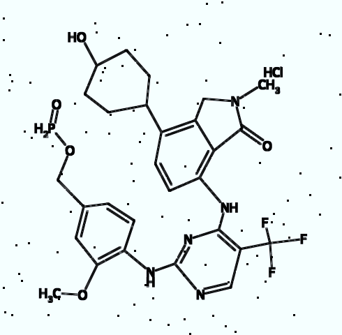 COc1cc(CO[PH2]=O)ccc1Nc1ncc(C(F)(F)F)c(Nc2ccc(C3CCC(O)CC3)c3c2C(=O)N(C)C3)n1.Cl